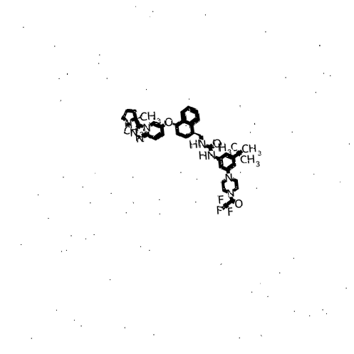 CN1CCC[C@@]1(C)c1nnc2ccc(O[C@@H]3CC[C@H](CNC(=O)Nc4cc(N5CCN(C(=O)C(F)(F)F)CC5)cc(C(C)(C)C)c4)c4ccccc43)cn12